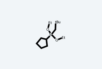 CCO[Si](CC(C)(C)C)(OCC)C1CCCC1